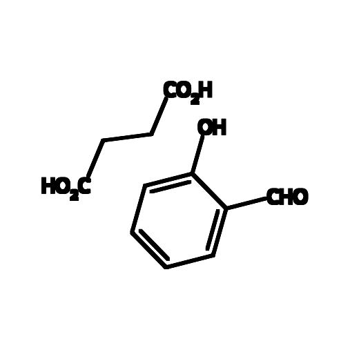 O=C(O)CCC(=O)O.O=Cc1ccccc1O